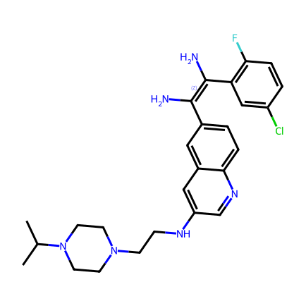 CC(C)N1CCN(CCNc2cnc3ccc(/C(N)=C(/N)c4cc(Cl)ccc4F)cc3c2)CC1